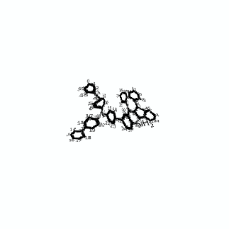 c1ccc(-c2ccc(N(c3ccc(-c4ccccc4)cc3)c3ccc(-c4ccc5c(c4)C(c4ccccc4)C4=C([SiH2]5)c5ccccc5C4c4ccccc4)cc3)cc2)cc1